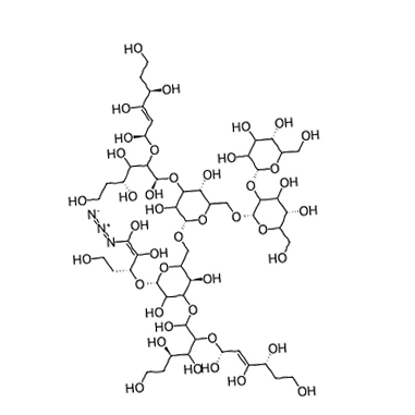 [N-]=[N+]=N/C(O)=C(/O)[C@@H](CCO)O[C@@H]1OC(CO[C@H]2OC(CO[C@H]3OC(CO)[C@@H](O)C(O)C3O[C@H]3OC(CO)[C@@H](O)C(O)C3O)[C@@H](O)C(O[C@@H](O)C(O[C@@H](O)/C=C(\O)[C@H](O)CCO)C(O)[C@H](O)CCO)C2O)[C@@H](O)C(OC(O)C(O[C@@H](O)/C=C(\O)[C@H](O)CCO)C(O)[C@H](O)CCO)C1O